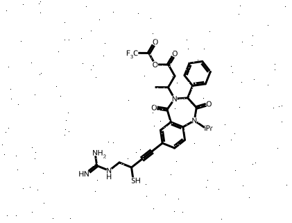 CC(C)N1C(=O)C(c2ccccc2)N(C(C)CC(=O)OC(=O)C(F)(F)F)C(=O)c2cc(C#CC(S)CNC(=N)N)ccc21